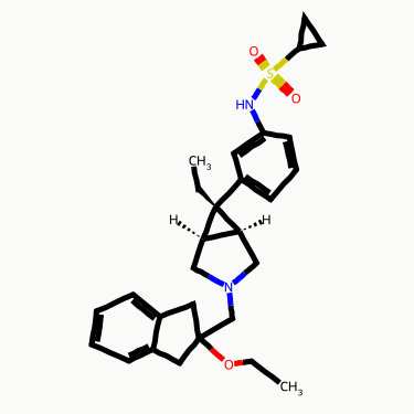 CCOC1(CN2C[C@@H]3[C@H](C2)[C@@]3(CC)c2cccc(NS(=O)(=O)C3CC3)c2)Cc2ccccc2C1